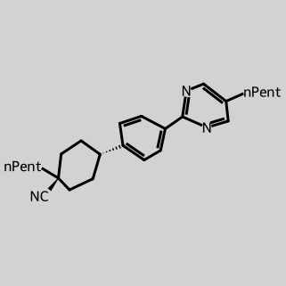 CCCCCc1cnc(-c2ccc([C@H]3CC[C@@](C#N)(CCCCC)CC3)cc2)nc1